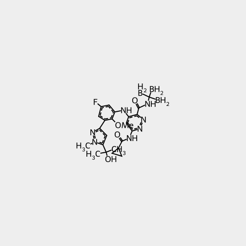 BC(B)(B)NC(=O)c1nnc(NC(=O)C2CC2)cc1Nc1cc(F)cc(-c2cc(C(C)(C)O)n(C)n2)c1OC